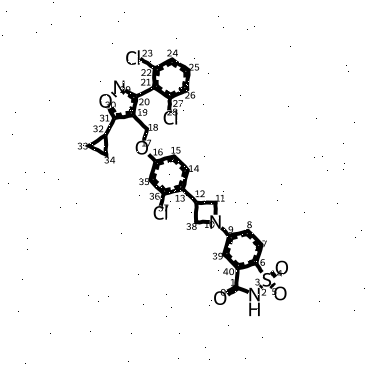 O=C1NS(=O)(=O)c2ccc(N3CC(c4ccc(OCc5c(-c6c(Cl)cccc6Cl)noc5C5CC5)cc4Cl)C3)cc21